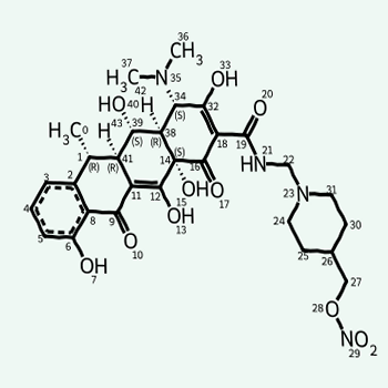 C[C@H]1c2cccc(O)c2C(=O)C2=C(O)[C@]3(O)C(=O)C(C(=O)NCN4CCC(CO[N+](=O)[O-])CC4)=C(O)[C@@H](N(C)C)[C@@H]3[C@@H](O)[C@@H]21